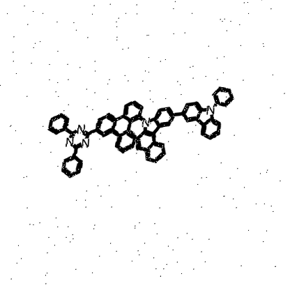 c1ccc(-c2nc(-c3ccccc3)nc(-c3ccc4c(c3)c3ccccc3c3c(-n5c6ccc(-c7ccc8c(c7)c7ccccc7n8-c7ccccc7)cc6c6c7ccccc7ccc65)cccc43)n2)cc1